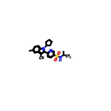 Cc1ccc2c(c1)c(C#N)c(-c1ccc(S(=O)(=O)N[C@@H](C)C(F)(F)F)cn1)n2C1CCCC1